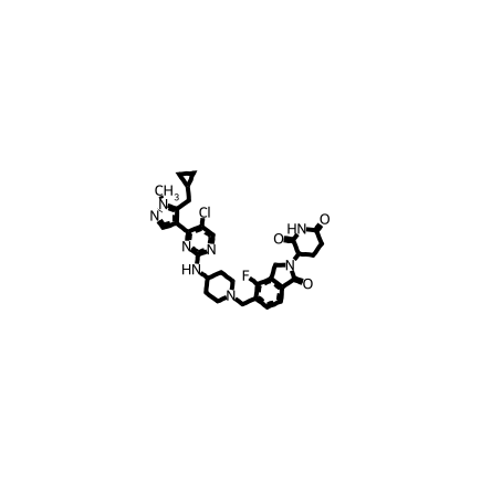 Cn1ncc(-c2nc(NC3CCN(Cc4ccc5c(c4F)CN(C4CCC(=O)NC4=O)C5=O)CC3)ncc2Cl)c1CC1CC1